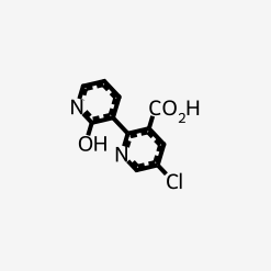 O=C(O)c1cc(Cl)cnc1-c1cccnc1O